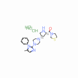 Cc1cnc(N2CCN([C@@H]3CN[C@H](C(=O)N4CCSC4)C3)CC2)n1-c1ccccc1.Cl.Cl.Cl